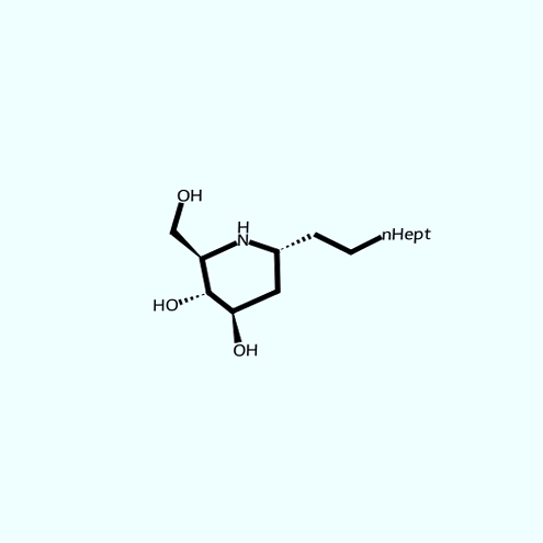 CCCCCCCCC[C@@H]1C[C@@H](O)[C@H](O)[C@@H](CO)N1